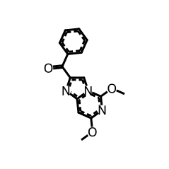 COc1cc2nc(C(=O)c3ccccc3)cn2c(OC)n1